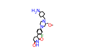 COC[C@H]1CN(c2ccc(C3CCC(=O)NC3=O)c(F)c2)CCN1CC1CCC(N)CC1